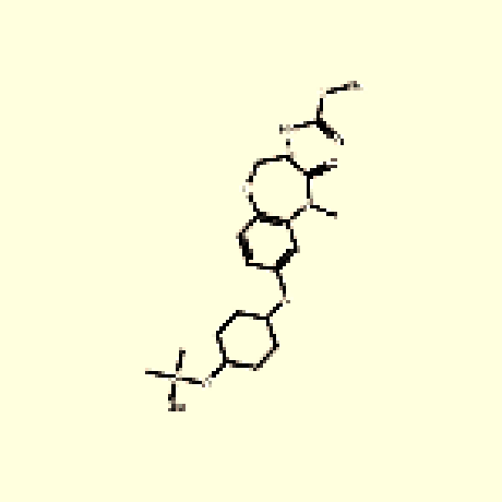 CN1C(=O)[C@@H](NC(=O)OC(C)(C)C)COc2ccc(OC3CCC(O[Si](C)(C)C(C)(C)C)CC3)cc21